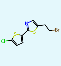 Clc1ccc(-c2ncc(CCBr)s2)s1